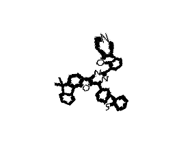 CC1(C)c2ccccc2-c2c1ccc1c2oc2c(-c3ccc4sc5ccccc5c4c3)nc(-c3cccc4c3oc3ccncc34)nc21